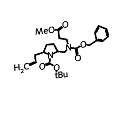 C=CCC1CCC(CN(CCC(=O)OC)C(=O)OCc2ccccc2)N1C(=O)OC(C)(C)C